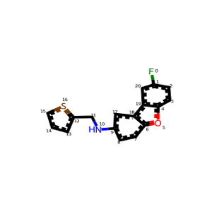 Fc1ccc2oc3ccc(NCc4cccs4)cc3c2c1